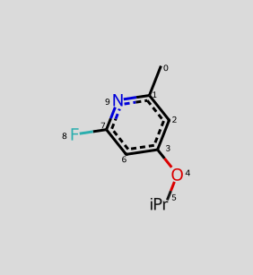 Cc1cc(OC(C)C)cc(F)n1